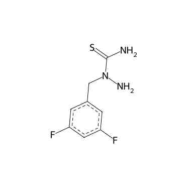 NC(=S)N(N)Cc1cc(F)cc(F)c1